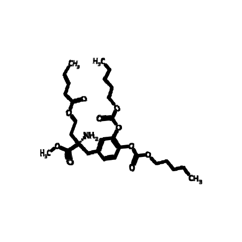 CCCCCOC(=O)Oc1ccc(C[C@](N)(CCOC(=O)CCCC)C(=O)OC)cc1OC(=O)OCCCCC